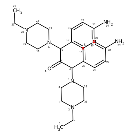 CCN1CCN(C(C(=O)C(c2ccc(N)nc2)N2CCN(CC)CC2)c2ccc(N)nc2)CC1